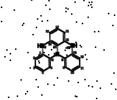 B1c2ccccc2N2c3ccccc3Bc3cccc1c32